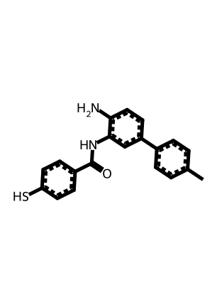 Cc1ccc(-c2ccc(N)c(NC(=O)c3ccc(S)cc3)c2)cc1